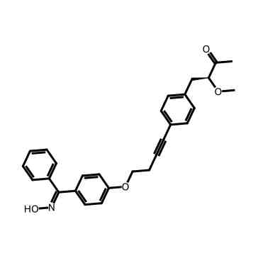 CO[C@@H](Cc1ccc(C#CCCOc2ccc(C(=NO)c3ccccc3)cc2)cc1)C(C)=O